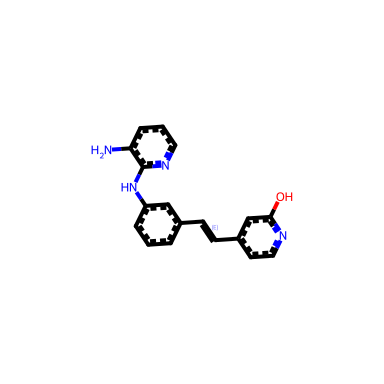 Nc1cccnc1Nc1cccc(/C=C/c2ccnc(O)c2)c1